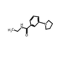 CCNC(=O)c1cccc(N2CCCC2)c1